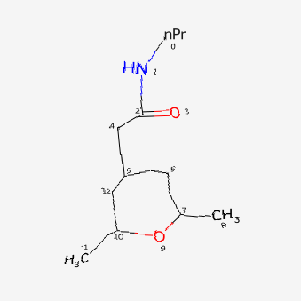 CCCNC(=O)CC1CC(C)OC(C)C1